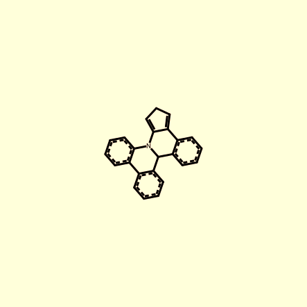 C1=C2C(=CC1)N1c3ccccc3-c3ccccc3C1c1ccccc12